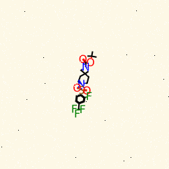 CC(C)(C)OC(=O)N1CC2(CCN(S(=O)(=O)c3ccc(C(F)(F)F)cc3F)CC2)C1